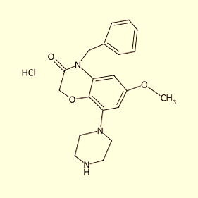 COc1cc(N2CCNCC2)c2c(c1)N(Cc1ccccc1)C(=O)CO2.Cl